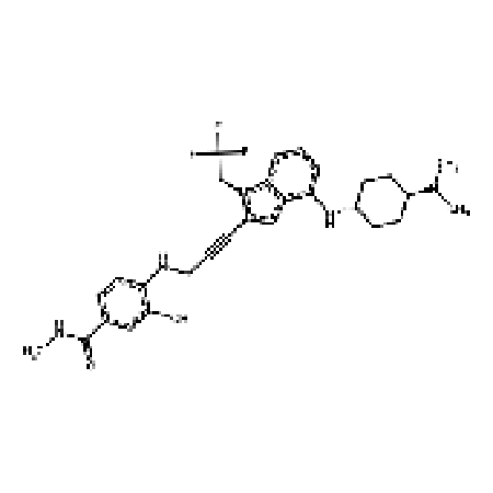 CNC(=O)c1ccc(NCC#Cc2cc3c(N[C@H]4CC[C@H](N(C)C)CC4)cccc3n2CC(F)(F)F)c(O)c1